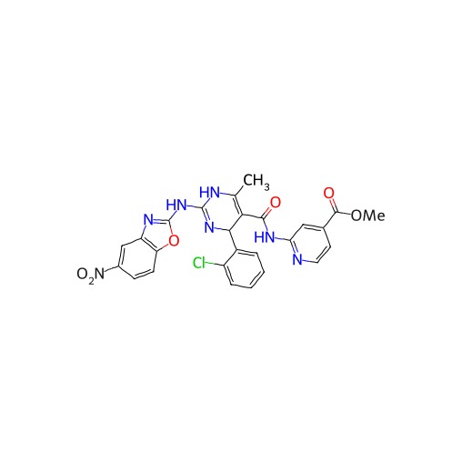 COC(=O)c1ccnc(NC(=O)C2=C(C)NC(Nc3nc4cc([N+](=O)[O-])ccc4o3)=NC2c2ccccc2Cl)c1